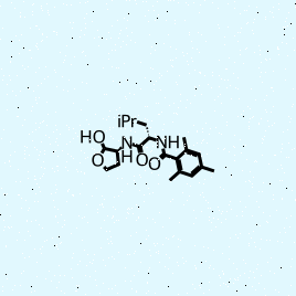 Cc1cc(C)c(C(=O)N[C@@H](CC(C)C)C(=O)N[C@H]2CCOC2O)c(C)c1